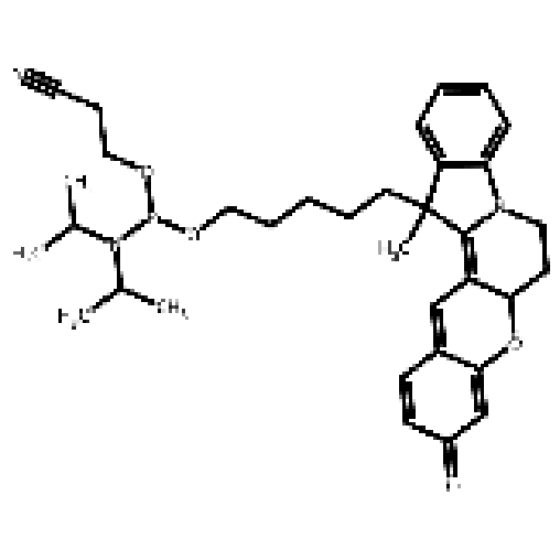 CC(C)N(C(C)C)P(OCCC#N)OCCCCCC1(C)C2=C3C=C4C=CC(=O)C=C4OC3CCN2c2ccccc21